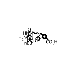 CCCCOc1nc(N)c2[nH]c(=O)n(CCCN(Cc3ccc(CC(=O)O)cc3)[C@@H]3CCN(C)C3)c2n1